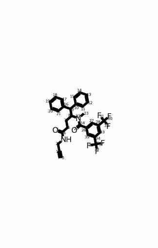 C#CCNC(=O)CCC(C(c1ccccc1)c1ccccc1)N(C)C(=O)c1cc(C(F)(F)F)cc(C(F)(F)F)c1